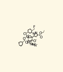 CCOC(=O)c1cc([C@@H]2O[C@@H]3COC(c4ccccc4)O[C@@H]3[C@H](N=[N+]=[N-])[C@H]2OC)n(-c2cc(Cl)ccc2CF)n1